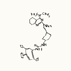 CN(C)c1nc(NC2CCC(NC(=S)Nc3cc(Cl)c(Cl)cc3Cl)CC2)nc2c1CCCC2